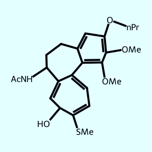 CCCOc1cc2c(c(OC)c1OC)C1=CC=C(SC)C(O)C=C1C(NC(C)=O)CC2